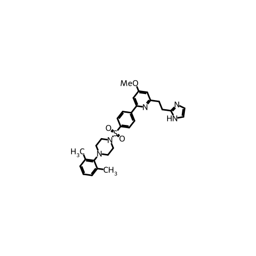 COc1cc(CCc2ncc[nH]2)nc(-c2ccc(S(=O)(=O)N3CCN(c4c(C)cccc4C)CC3)cc2)c1